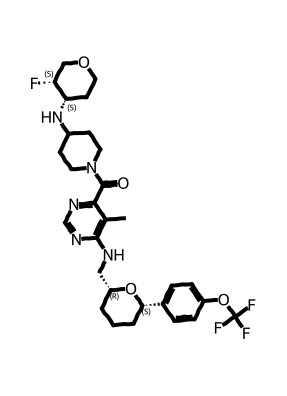 Cc1c(NC[C@H]2CCC[C@@H](c3ccc(OC(F)(F)F)cc3)O2)ncnc1C(=O)N1CCC(N[C@H]2CCOC[C@H]2F)CC1